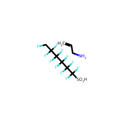 C=CCN.O=S(=O)(O)C(F)(F)C(F)(F)C(F)(F)C(F)(F)C(F)(F)CF